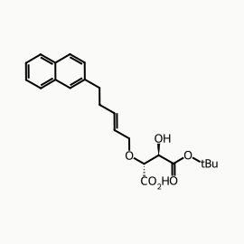 CC(C)(C)OC(=O)[C@H](O)[C@@H](OCC=CCCc1ccc2ccccc2c1)C(=O)O